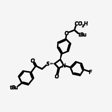 CC(C)(C)c1ccc(C(=O)CS[C@H]2C(=O)N(c3ccc(F)cc3)[C@@H]2c2ccc(OC(C(=O)O)C(C)(C)C)cc2)cc1